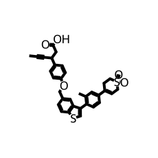 CC#CC(CC(=O)O)c1ccc(OCc2ccc3scc(-c4ccc(C5=CCS(=O)(=O)CC5)cc4C)c3c2)cc1